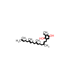 CCc1cc(O)cc(C/C=C(\C)CC/C=C(\C)CC/C=C(\C)CCC=C(C)C)c1O